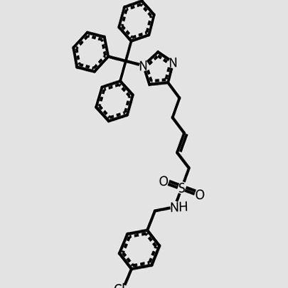 O=S(=O)(CC=CCCc1cn(C(c2ccccc2)(c2ccccc2)c2ccccc2)cn1)NCc1ccc(Cl)cc1